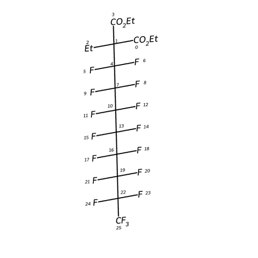 CCOC(=O)C(CC)(C(=O)OCC)C(F)(F)C(F)(F)C(F)(F)C(F)(F)C(F)(F)C(F)(F)C(F)(F)C(F)(F)F